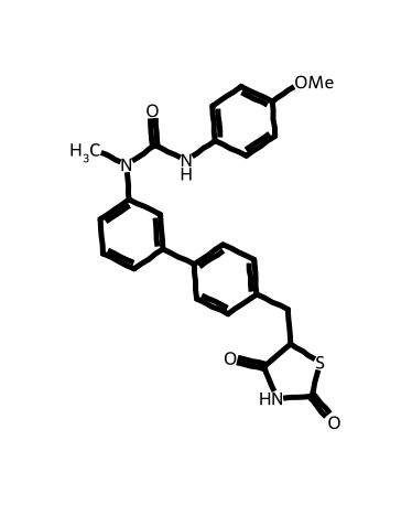 COc1ccc(NC(=O)N(C)c2cccc(-c3ccc(CC4SC(=O)NC4=O)cc3)c2)cc1